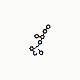 c1ccc(-c2nc(-c3ccc(-c4ccc(-c5ccc6c(c5)oc5ccccc56)c5oc6ccccc6c45)cc3)cc(-c3ccccc3-c3ccccn3)n2)cc1